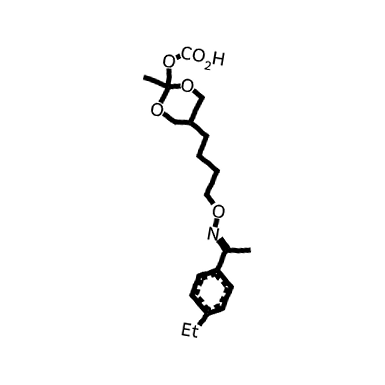 CCc1ccc(C(C)=NOCCCCC2COC(C)(OC(=O)O)OC2)cc1